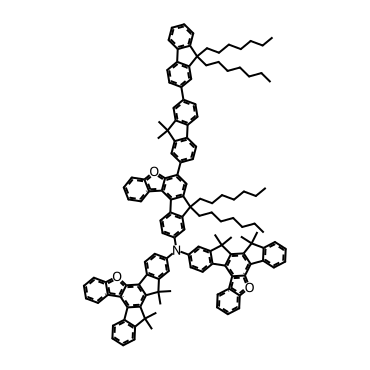 CCCCCCCC1(CCCCCCC)c2ccccc2-c2ccc(-c3ccc4c(c3)C(C)(C)c3cc(-c5cc6c(c7c5oc5ccccc57)-c5ccc(N(c7ccc8c(c7)C(C)(C)c7c9c(c%10c(oc%11ccccc%11%10)c7-8)-c7ccccc7C9(C)C)c7ccc8c(c7)C(C)(C)c7c9c(c%10oc%11ccccc%11c%10c7-8)-c7ccccc7C9(C)C)cc5C6(CCCCCCC)CCCCCCC)ccc3-4)cc21